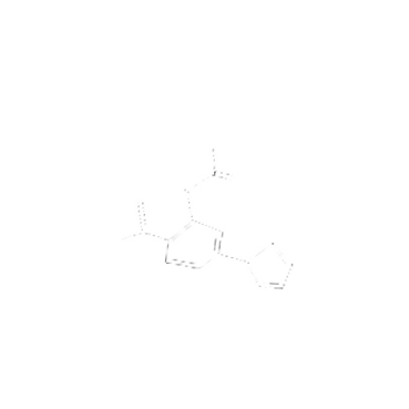 CC(=O)Nc1cc(-n2cccc2)ccc1[N+](=O)[O-]